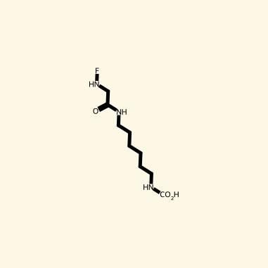 O=C(O)NCCCCCCNC(=O)CNF